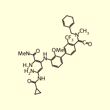 CNC(=O)/C(N)=C(/C=C(\N)NC(=O)C1CC1)Nc1cccc(-c2ccc(C(=C=O)N(C)CC3=CCCC=C3)c(C(F)(F)F)c2)c1OC